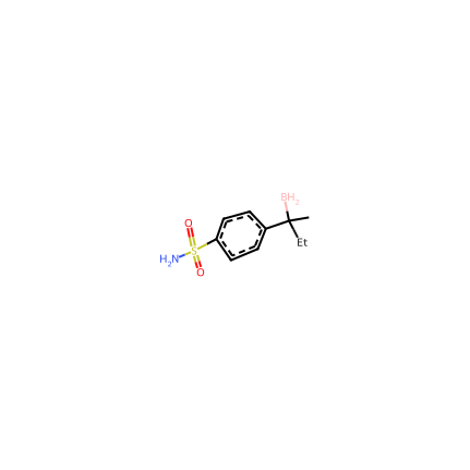 BC(C)(CC)c1ccc(S(N)(=O)=O)cc1